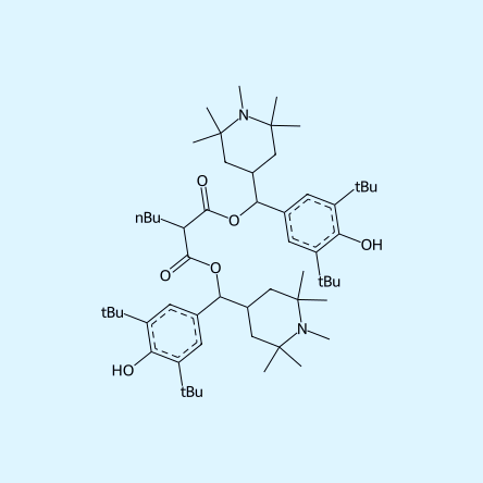 CCCCC(C(=O)OC(c1cc(C(C)(C)C)c(O)c(C(C)(C)C)c1)C1CC(C)(C)N(C)C(C)(C)C1)C(=O)OC(c1cc(C(C)(C)C)c(O)c(C(C)(C)C)c1)C1CC(C)(C)N(C)C(C)(C)C1